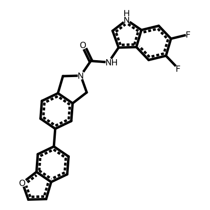 O=C(Nc1c[nH]c2cc(F)c(F)cc12)N1Cc2ccc(-c3ccc4ccoc4c3)cc2C1